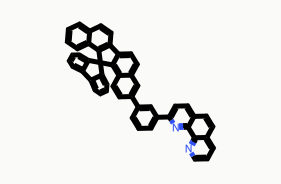 c1cc(-c2ccc3c4c(ccc3c2)-c2ccc3ccccc3c2C42c3ccccc3-c3ccccc32)cc(-c2ccc3ccc4cccnc4c3n2)c1